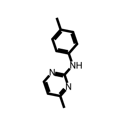 Cc1ccc(Nc2nccc(C)n2)cc1